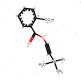 CC(C)[Si](C)(C)C#COC(=O)c1ccccc1C(=O)O